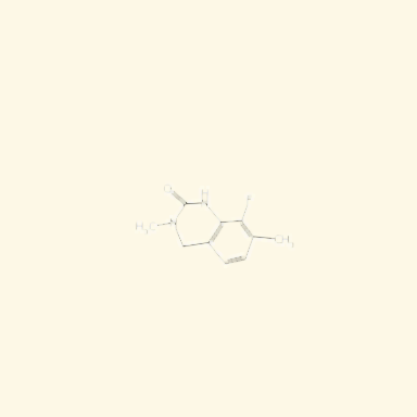 Cc1ccc2c(c1F)NC(=O)N(C)C2